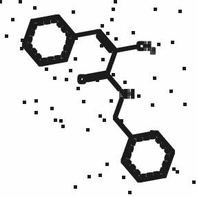 CC(=Cc1ccccc1)C(=O)NCc1ccccc1